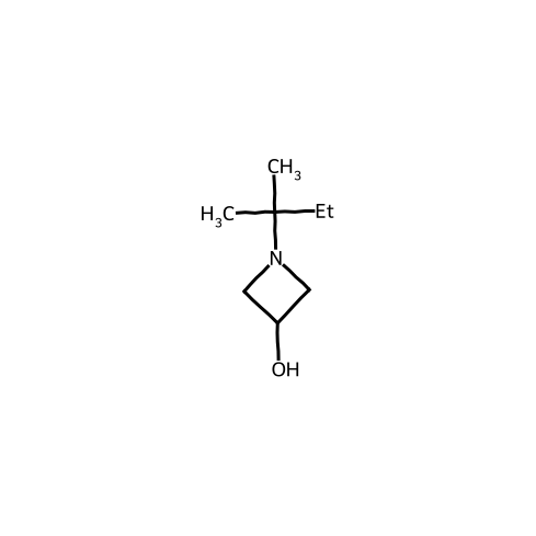 CCC(C)(C)N1CC(O)C1